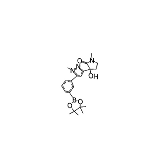 CN1CC[C@](O)(c2cc(-c3cccc(B4OC(C)(C)C(C)(C)O4)c3)n(C)n2)C1=O